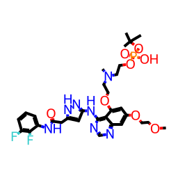 COCCOc1cc(OCCN(C)CCOP(=O)(O)OC(C)(C)C)c2c(Nc3cc(CC(=O)Nc4cccc(F)c4F)[nH]n3)ncnc2c1